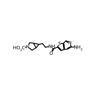 Nc1cc2cc(C(=O)NCCC3C4CN(C(=O)O)CC34)sc2cn1